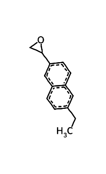 CCc1ccc2cc(C3CO3)ccc2c1